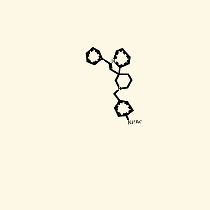 CC(=O)Nc1ccc(CN2CCCC(C=Cc3ccccc3)(c3ccccn3)C2)cc1